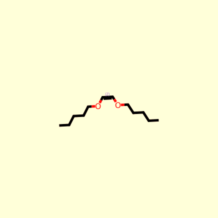 CCCCCO/C=C\OCCCCC